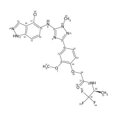 COc1cc(-c2nc(Nc3ccc4[nH]ncc4c3Cl)n(C)n2)ccc1OCC(=O)N[C@@H](C)C(F)(F)F